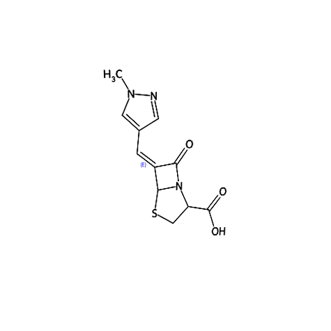 Cn1cc(/C=C2\C(=O)N3C(C(=O)O)CSC23)cn1